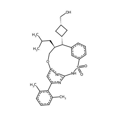 Cc1cccc(C)c1-c1cc2nc(n1)NS(=O)(=O)c1cccc(c1)C([C@H]1C[C@@H](CO)C1)[C@H](CC(C)C)CO2